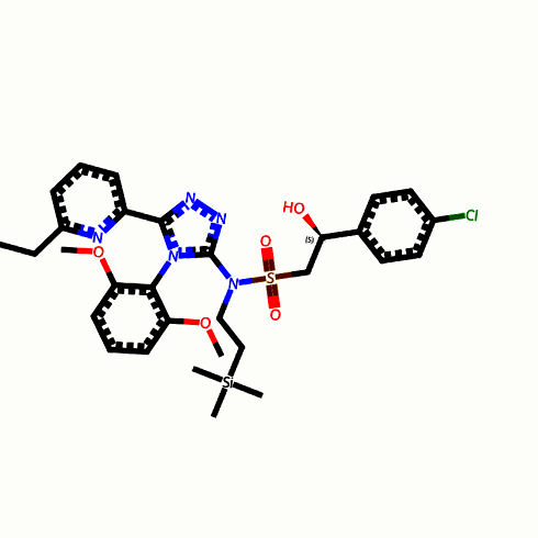 CCc1cccc(-c2nnc(N(CC[Si](C)(C)C)S(=O)(=O)C[C@@H](O)c3ccc(Cl)cc3)n2-c2c(OC)cccc2OC)n1